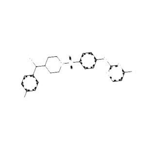 NC(c1ccc(F)cc1)C1CCN(S(=O)(=O)c2ccc(Nc3nccc(Cl)n3)cc2)CC1